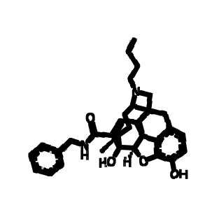 CCCCN1CC23Cc4ccc(O)c5c4C4(CC=CC(O)([C@@H]4O5)[C@](C)(C(=O)NCc4ccccc4)CCC12)C3